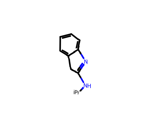 CC(C)NC1=Nc2ccccc2C1